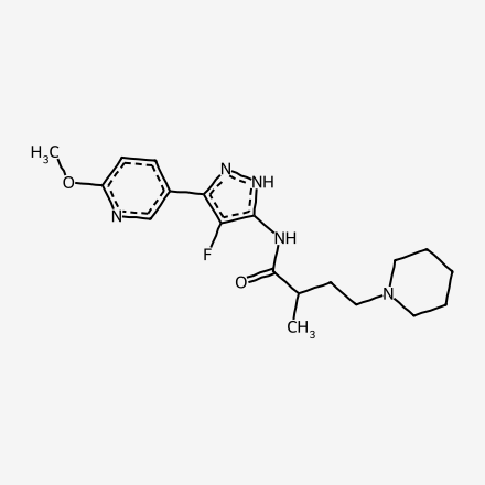 COc1ccc(-c2n[nH]c(NC(=O)C(C)CCN3CCCCC3)c2F)cn1